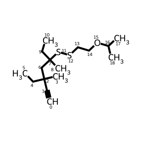 C#CC(C)(CC)CC(C)(CC)SSCCOC(C)C